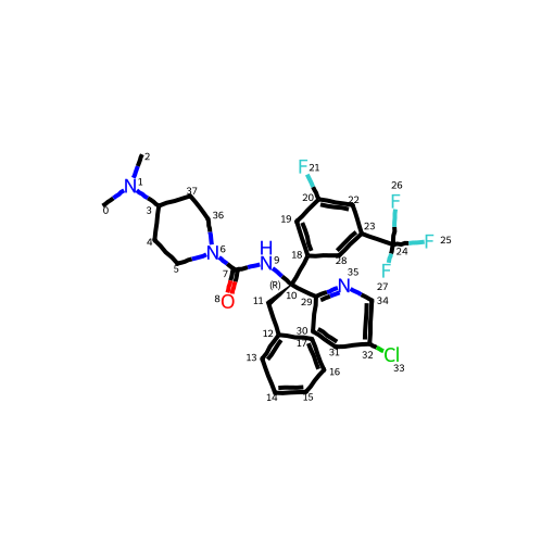 CN(C)C1CCN(C(=O)N[C@](Cc2ccccc2)(c2cc(F)cc(C(F)(F)F)c2)c2ccc(Cl)cn2)CC1